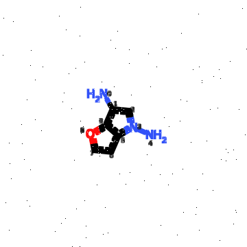 Nc1cn(N)c2ccoc12